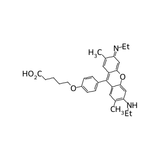 CCN=c1cc2oc3cc(NCC)c(C)cc3c(-c3ccc(OCCCCC(=O)O)cc3)c-2cc1C